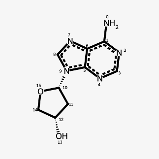 Nc1ncnc2c1ncn2[C@@H]1C[C@H](O)CO1